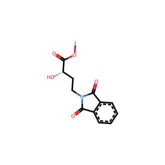 O=C(OI)[C@@H](O)CCN1C(=O)c2ccccc2C1=O